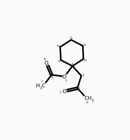 CC(=O)CC1(OC(C)=O)CCCCC1